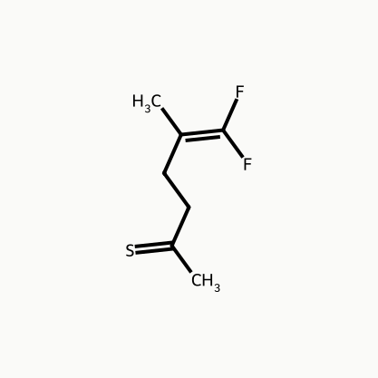 CC(=S)CCC(C)=C(F)F